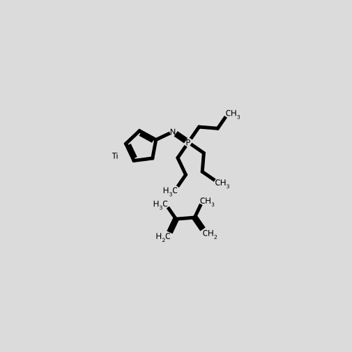 C=C(C)C(=C)C.CCCP(CCC)(CCC)=NC1=CC=CC1.[Ti]